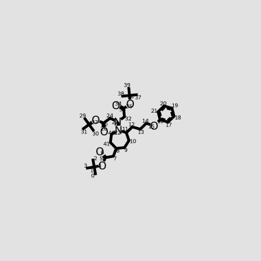 CC(C)(C)OC(=O)CC1CCC(CCCOc2ccccc2)N(N(CC(=O)OC(C)(C)C)CC(=O)OC(C)(C)C)CC1